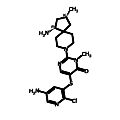 C[C@H]1C[C@@H](N)C2(CCN(c3ncc(Sc4cc(N)cnc4Cl)c(=O)n3C)CC2)C1